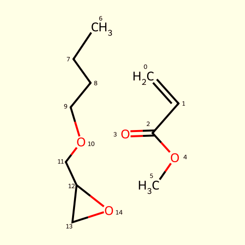 C=CC(=O)OC.CCCCOCC1CO1